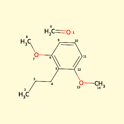 C=O.CCCc1c(OC)cccc1OC